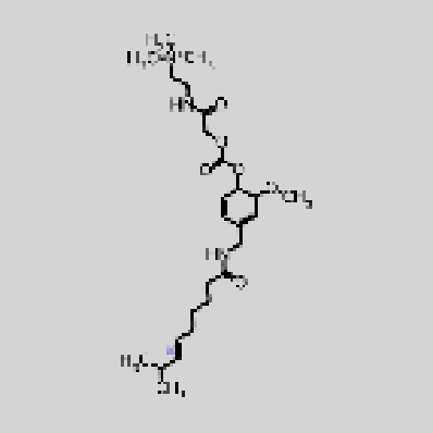 COC1C=C(CNC(=O)CCCC/C=C/C(C)C)C=CC1OC(=O)OCC(=O)NCC[N+](C)(C)C